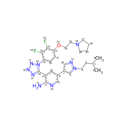 CC(C)CCn1cc(-c2cnc(N)c(-c3nnnn3-c3ccc(OCCN4CCCC4)c(F)c3F)c2)cn1